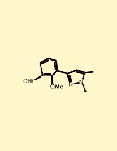 COc1c(C=O)cccc1-c1cc(C)n(C)n1